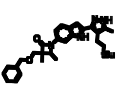 Cc1[nH]nc(-c2cc3ccc(N4C(=O)C(C)(COCC5=CCCC=C5)C4C)cc3[nH]2)c1CCC(C)(C)C